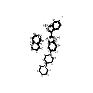 Fc1ccc2c(-c3nc4cc(N5CCC(N6CCCCC6)CC5)ccc4[nH]3)n[nH]c2c1.c1cnc2ccncc2c1